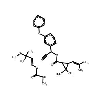 CC(C)=CC1C(C(=O)OC(C#N)c2cccc(Oc3ccccc3)c2)C1(C)C.CNC(=O)O/N=C/C(C)(C)SC